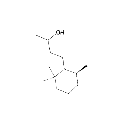 CC(O)CCC1[C@@H](C)CCCC1(C)C